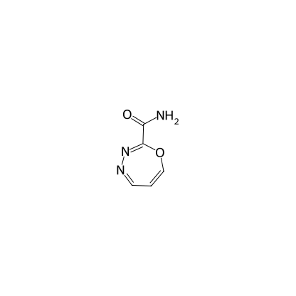 NC(=O)C1=NN=CC=CO1